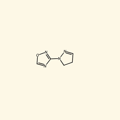 C1=NN(c2ncon2)CC1